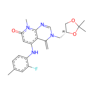 C=C1c2c(Nc3ccc(C)cc3F)cc(=O)n(C)c2N=CN1C[C@@H]1COC(C)(C)O1